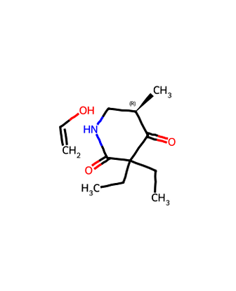 C=CO.CCC1(CC)C(=O)NC[C@@H](C)C1=O